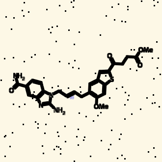 COC(=O)CCC(=O)c1cc2cc(C/C=C/Cn3c(N)nc4cc(C(N)=O)ccc43)c(OC)cc2s1